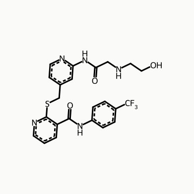 O=C(CNCCO)Nc1cc(CSc2ncccc2C(=O)Nc2ccc(C(F)(F)F)cc2)ccn1